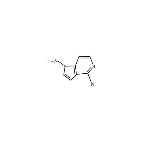 O=C(O)n1ccc2c(Cl)nccc21